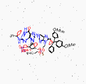 COc1ccc(C(OCc2nc3cncnc3n2CCOP(=S)(OCCC#N)OC[C@@H]2C[C@@H](O[PH](=O)O)[C@H](n3cnc4c(=O)[nH]c(NC(=O)C(C)C)nc43)O2)(c2ccccc2)c2ccc(OC)cc2)cc1